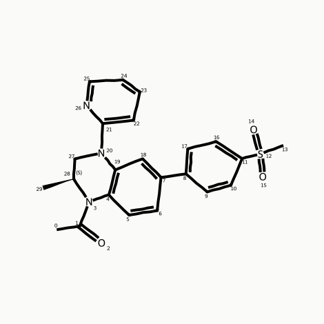 CC(=O)N1c2ccc(-c3ccc(S(C)(=O)=O)cc3)cc2N(c2ccccn2)C[C@@H]1C